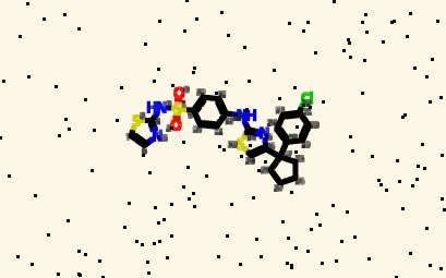 O=S(=O)(Nc1nccs1)c1ccc(Nc2nc(C3(c4ccc(Cl)cc4)CCCC3)cs2)cc1